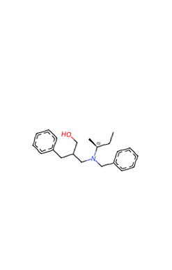 CC[C@H](C)N(Cc1ccccc1)CC(CO)Cc1ccccc1